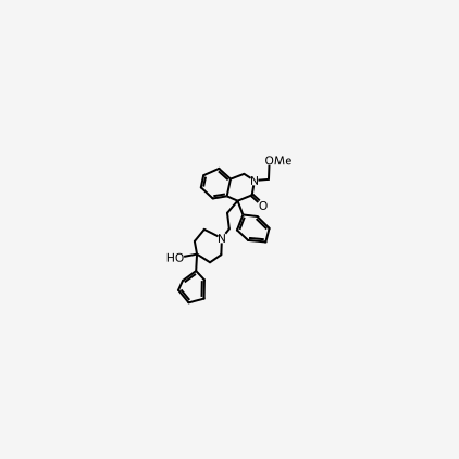 COCN1Cc2ccccc2C(CCN2CCC(O)(c3ccccc3)CC2)(c2ccccc2)C1=O